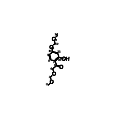 COCOCC(=O)c1ccc(OCOC)cc1O